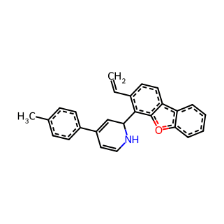 C=Cc1ccc2c(oc3ccccc32)c1C1C=C(c2ccc(C)cc2)C=CN1